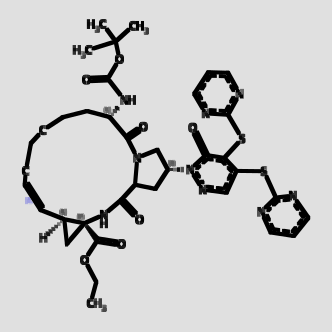 CCOC(=O)[C@@]12C[C@H]1/C=C\CCCCC[C@H](NC(=O)OC(C)(C)C)C(=O)N1C[C@H](n3ncc(Sc4ncccn4)c(Sc4ncccn4)c3=O)CC1C(=O)N2